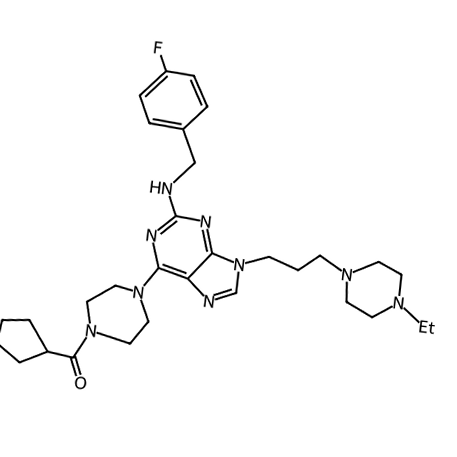 CCN1CCN(CCCn2cnc3c(N4CCN(C(=O)C5CCCC5)CC4)nc(NCc4ccc(F)cc4)nc32)CC1